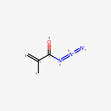 C=C(C)C(=O)N=[N+]=[N-]